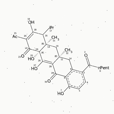 CCCCCC(=O)c1ccc(O)c2c1C[C@]1(C)C[C@]3(C)C(C(C)C)C(O)=C(C(C)=O)C(=O)[C@]3(O)C(O)=C1C2=O